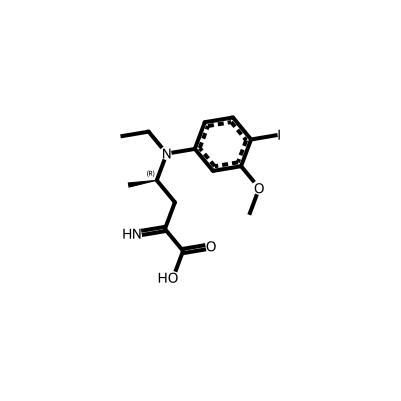 CCN(c1ccc(I)c(OC)c1)[C@H](C)CC(=N)C(=O)O